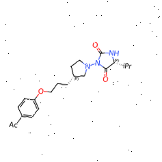 CC(=O)c1ccc(OCCC[C@@H]2CCN(N3C(=O)N[C@H](C(C)C)C3=O)C2)cc1